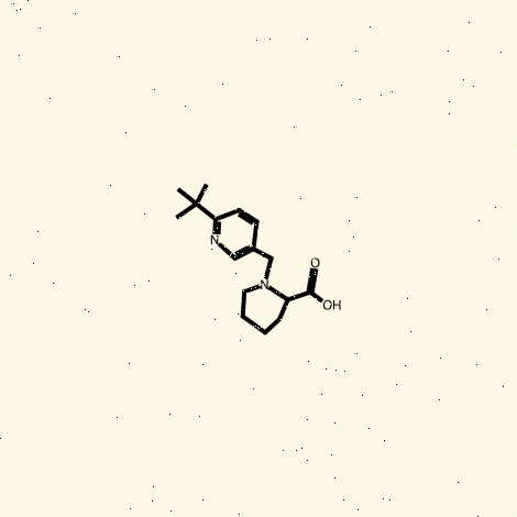 CC(C)(C)c1ccc(CN2CCCCC2C(=O)O)cn1